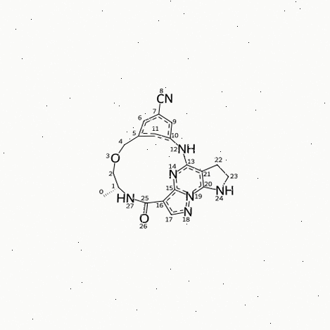 C[C@@H]1COCc2cc(C#N)cc(c2)Nc2nc3c(cnn3c3c2CCN3)C(=O)N1